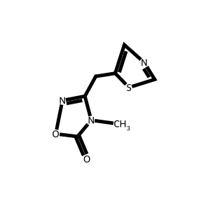 Cn1c(Cc2cncs2)noc1=O